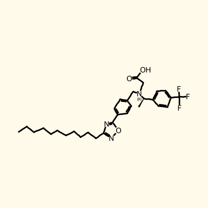 CCCCCCCCCCCc1noc(-c2ccc(CN(CC(=O)O)[C@H](C)c3ccc(C(F)(F)F)cc3)cc2)n1